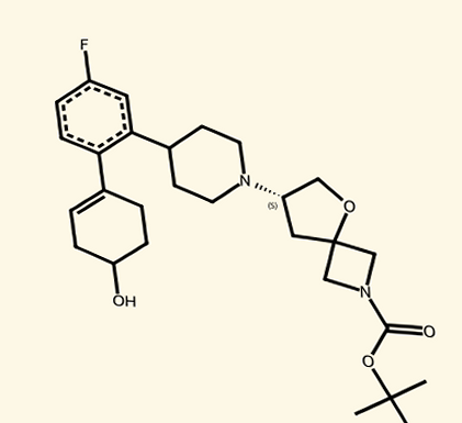 CC(C)(C)OC(=O)N1CC2(C[C@H](N3CCC(c4cc(F)ccc4C4=CCC(O)CC4)CC3)CO2)C1